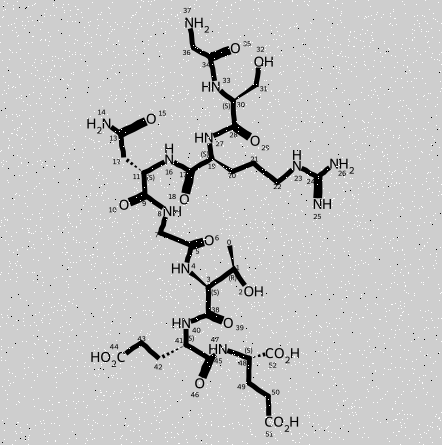 C[C@@H](O)[C@H](NC(=O)CNC(=O)[C@H](CC(N)=O)NC(=O)[C@H](CCCNC(=N)N)NC(=O)[C@H](CO)NC(=O)CN)C(=O)N[C@@H](CCC(=O)O)C(=O)N[C@@H](CCC(=O)O)C(=O)O